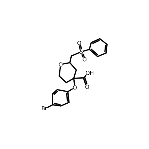 O=C(O)C1(Oc2ccc(Br)cc2)CCOC(CS(=O)(=O)c2ccccc2)C1